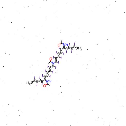 BB(I)B(I)B(I)B(I)B(NC(C)=O)B(I)B(I)B(I)B(I)B(I)B(I)N(B(I)B(I)B(I)B(I)B(I)B(I)B(NC(C)=O)B(I)B(I)B(I)B(B)I)C(C)=O